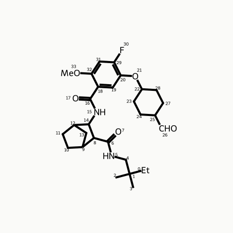 CCC(C)(C)CNC(=O)C1C2CCC(C2)C1NC(=O)c1cc(OC2CCC(C=O)CC2)c(F)cc1OC